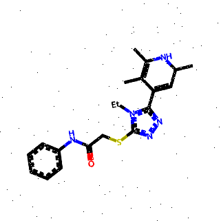 CCn1c(SCC(=O)Nc2ccccc2)nnc1C1=CC(C)NC(C)=C1C